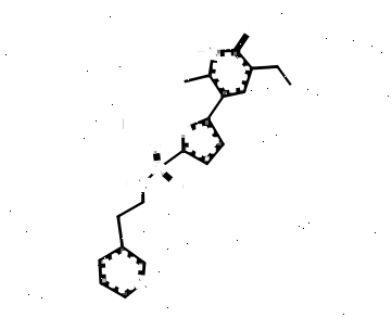 CCc1cc(-c2ccc(S(=O)(=O)NCCc3cccnc3)o2)c(C)[nH]c1=O.Cl